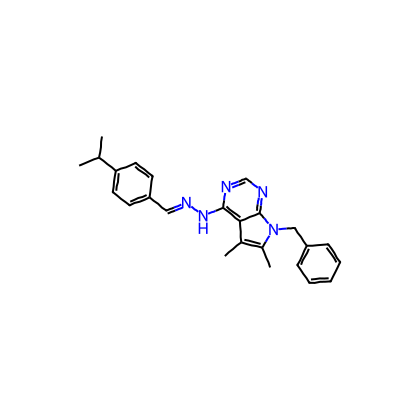 Cc1c(C)n(Cc2ccccc2)c2ncnc(N/N=C/c3ccc(C(C)C)cc3)c12